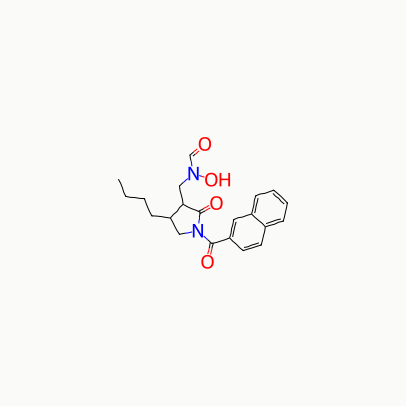 CCCCC1CN(C(=O)c2ccc3ccccc3c2)C(=O)C1CN(O)C=O